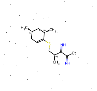 CCC(=N)C(=N)[C@@H](C)CSC1=CC[C@@H](C)C[C@H]1C